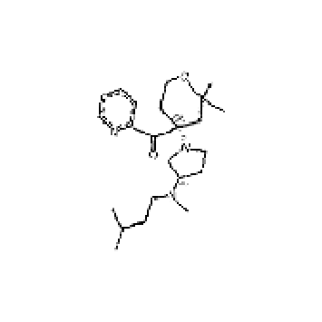 CC(C)CCN(C)[C@@H]1CCN([C@]2(C(=O)c3ccccn3)CCOC(C)(C)C2)C1